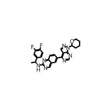 CC(Nc1ncc2cc(-c3ncnc4c3cnn4C3CCCCO3)ccc2n1)c1ccc(F)c(F)c1